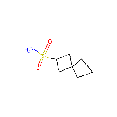 NS(=O)(=O)C1CC2(CCC2)C1